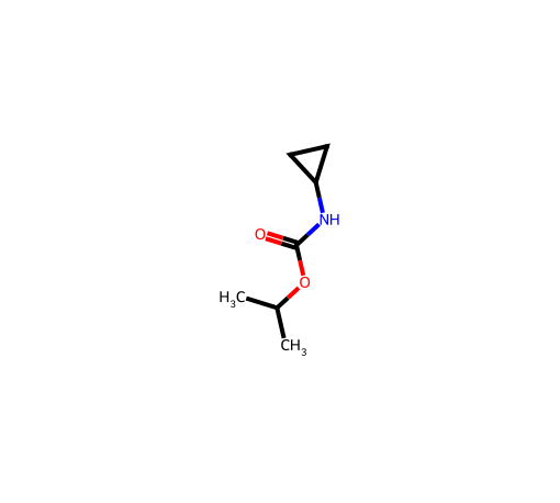 CC(C)OC(=O)NC1CC1